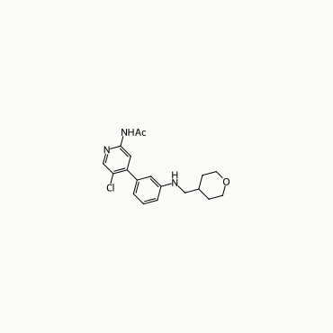 CC(=O)Nc1cc(-c2cccc(NCC3CCOCC3)c2)c(Cl)cn1